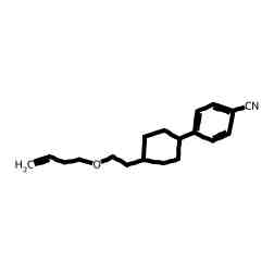 C=CCCOCCC1CCC(c2ccc(C#N)cc2)CC1